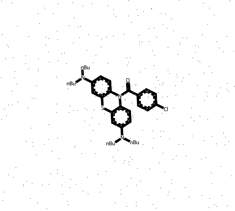 CCCCN(CCCC)c1ccc2c(c1)Sc1cc(N(CCCC)CCCC)ccc1N2C(=O)c1ccc(Cl)cc1